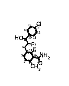 Cc1ccc(CC(F)C(O)c2ccc(Cl)cc2)c(F)c1C(N)=O